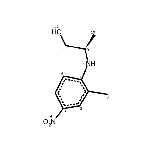 Cc1cc([N+](=O)[O-])ccc1N[C@H](C)CO